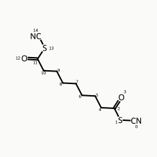 N#CSC(=O)CCCCCCCC(=O)SC#N